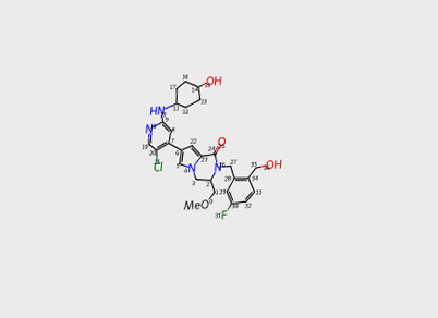 COCC1Cn2cc(-c3cc(NC4CCC(O)CC4)ncc3Cl)cc2C(=O)N1Cc1cc(F)ccc1CO